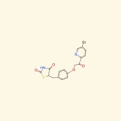 CCc1ccc(C(=O)COc2ccc(CC3SC(=O)NC3=O)cc2)nc1